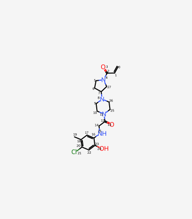 C=CC(=O)N1CCC(N2CCN(C(=O)CNc3cc(C)c(Cl)cc3O)CC2)C1